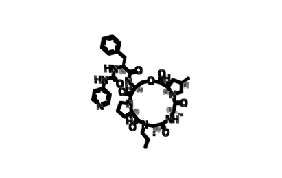 CCCN1C(=O)[C@@H]2CCCN2C(=O)[C@@H](NC(=O)[C@H](Cc2ccccc2)NC(=O)Nc2ccncc2)COC(=O)[C@@H]2C[C@@H](C)CN2C(=O)[C@H](C)NC(=O)[C@@H]1C